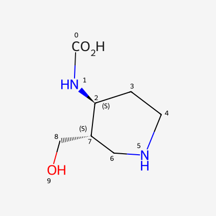 O=C(O)N[C@H]1CCNC[C@@H]1CO